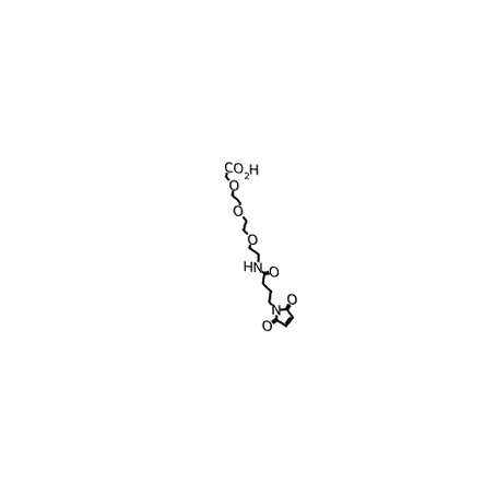 O=C(O)COCCOCCOCCNC(=O)CCCN1C(=O)C=CC1=O